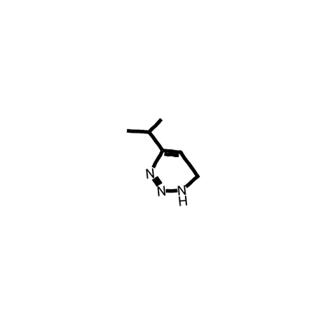 CC(C)C1=CCNN=N1